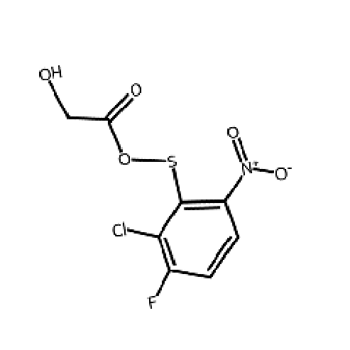 O=C(CO)OSc1c([N+](=O)[O-])ccc(F)c1Cl